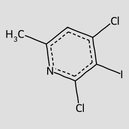 Cc1cc(Cl)c(I)c(Cl)n1